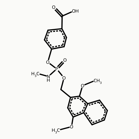 CNP(=O)(OCc1cc(OC)c2ccccc2c1OC)Oc1ccc(C(=O)O)cc1